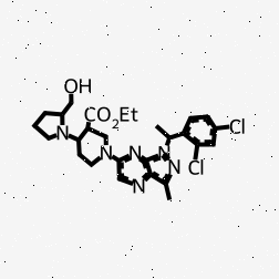 CCOC(=O)C1CN(c2cnc3c(C)nn(C(C)c4ccc(Cl)cc4Cl)c3n2)CCC1N1CCCC1CO